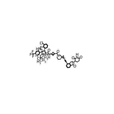 CC(C)(C)C[C@@H]1N[C@@H](C(=O)NC23CC(C(=O)N4CCC[C@]5(C[C@H]5C#Cc5cccc6c5CN(C5CCC(=O)NC5=O)C6=O)C4)(C2)C3)[C@H](c2cccc(Cl)c2F)[C@]12CNc1cc(C(F)(F)F)ncc12